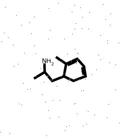 CC1=CC=CCC1CC(C)N